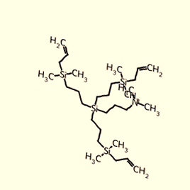 C=CC[Si](C)(C)CCC[Si](CCCN(C)C)(CCC[Si](C)(C)CC=C)CCC[Si](C)(C)CC=C